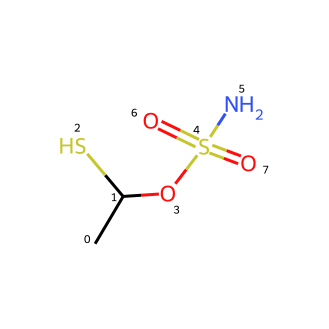 CC(S)OS(N)(=O)=O